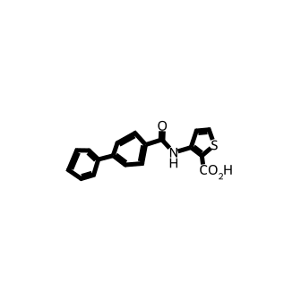 O=C(Nc1ccsc1C(=O)O)c1ccc(-c2ccccc2)cc1